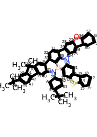 CC(C)(C)c1ccc(N2B3c4cc5sc6ccccc6c5cc4-n4c5cc6c(cc5c5ccc(c3c54)-c3cc4c(cc32)-c2ccc(C(C)(C)C)cc2C4(C)C)oc2ccccc26)cc1